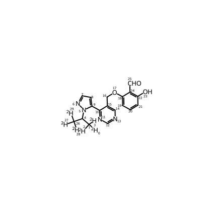 [2H]C([2H])([2H])C(n1nccc1-c1ncncc1COc1cccc(O)c1C=O)C([2H])([2H])[2H]